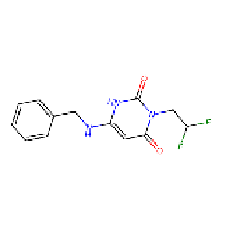 O=c1cc(NCc2ccccc2)[nH]c(=O)n1CC(F)F